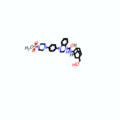 CS(=O)(=O)N1CCN(c2ccc(N3CCN(C(=O)NC4[C@@H]5CC6C[C@H]4CC(CO)(C6)C5)c4ccccc43)cc2)CC1